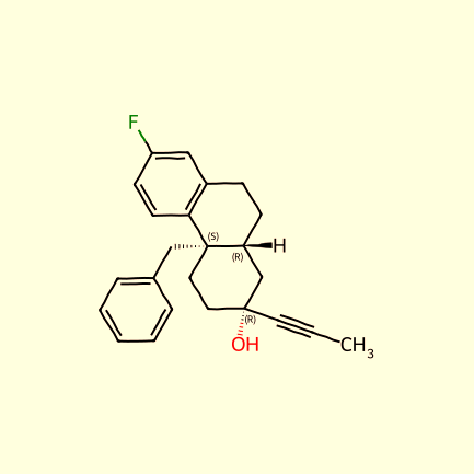 CC#C[C@@]1(O)CC[C@@]2(Cc3ccccc3)c3ccc(F)cc3CC[C@@H]2C1